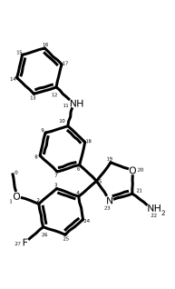 COc1cc(C2(c3cccc(Nc4ccccc4)c3)COC(N)=N2)ccc1F